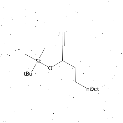 C#CC(CCCCCCCCCC)O[Si](C)(C)C(C)(C)C